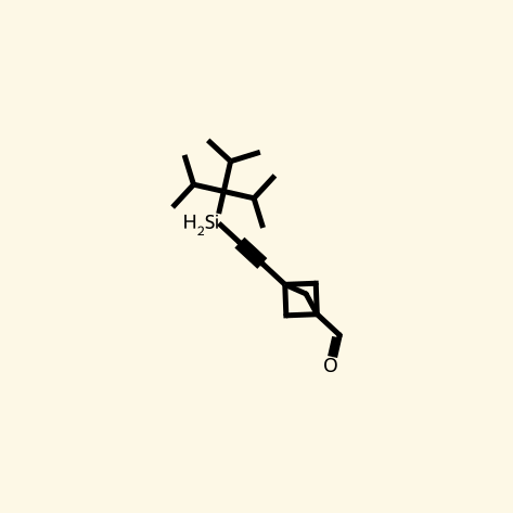 CC(C)C([SiH2]C#CC12CC(C=O)(C1)C2)(C(C)C)C(C)C